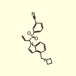 C=CC(n1ccc2c(CN3CCC3)cccc21)S(=O)(=O)c1cccc(C#N)c1